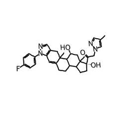 Cc1cnn(CC(=O)[C@@]2(O)CCC3C4CCC5=Cc6c(cnn6-c6ccc(F)cc6)CC5(C)C4[C@@H](O)CC32C)c1